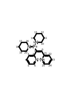 C(=C(c1ccccn1)P(N1CCCCC1)N1CCCCC1)c1ccccn1